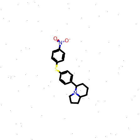 O=[N+]([O-])c1ccc(Sc2ccc(C3CCCC4CCCN43)cc2)cc1